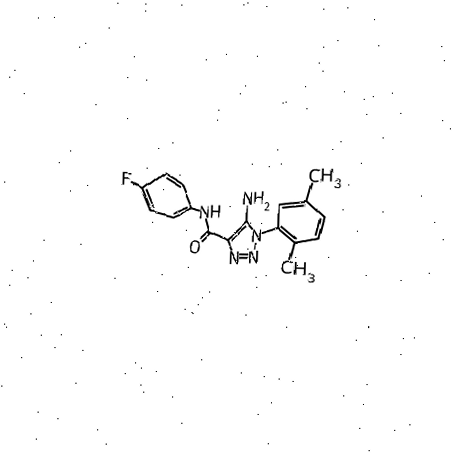 Cc1ccc(C)c(-n2nnc(C(=O)Nc3ccc(F)cc3)c2N)c1